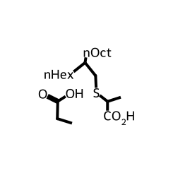 CCC(=O)O.CCCCCCCCC(CCCCCC)CSC(C)C(=O)O